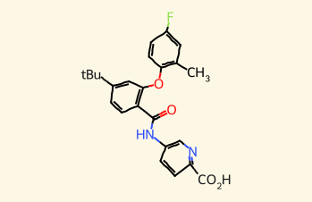 Cc1cc(F)ccc1Oc1cc(C(C)(C)C)ccc1C(=O)Nc1ccc(C(=O)O)nc1